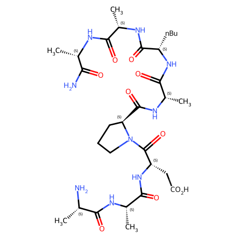 CCCC[C@H](NC(=O)[C@H](C)NC(=O)[C@@H]1CCCN1C(=O)[C@H](CC(=O)O)NC(=O)[C@H](C)NC(=O)[C@H](C)N)C(=O)N[C@@H](C)C(=O)N[C@@H](C)C(N)=O